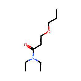 CCCOCCC(=O)N(CC)CC